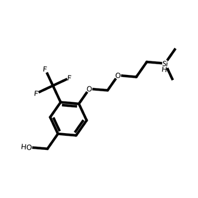 C[SiH](C)CCOCOc1ccc(CO)cc1C(F)(F)F